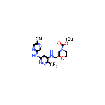 CC(C)(C)OC(=O)N1CCO[C@@H](CNc2cc(Nc3cnc(C#N)cn3)nnc2C(F)(F)F)C1